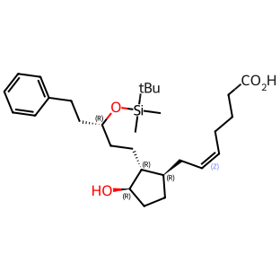 CC(C)(C)[Si](C)(C)O[C@@H](CCc1ccccc1)CC[C@@H]1[C@@H](C/C=C\CCCC(=O)O)CC[C@H]1O